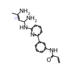 C=CC(=O)Nc1cccc(-c2cccc(NC(N)/C=C(/C)N)n2)c1